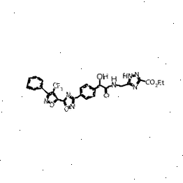 CCOC(=O)c1n[nH]c(CNC(=O)C(O)c2ccc(-c3noc(-c4onc(-c5ccccc5)c4C(F)(F)F)n3)cc2)n1